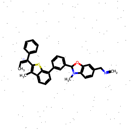 C=NCc1ccc2c(c1)OC(c1cccc(-c3cccc4c(C)c(/C(=C\C)c5ccccc5)sc34)c1)N2C